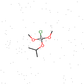 CO[Si](Cl)(OC)OC(C)C